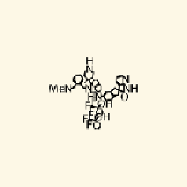 CNCc1ccccc1CN(CC(=O)Nc1ccc2c(c1)CC1(C2)C(=O)Nc2ncccc21)C(=O)C1(C)CCNCC1.O=C(O)C(F)(F)F.O=C(O)C(F)(F)F